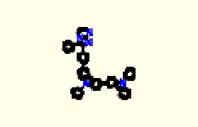 c1ccc(-c2c(-c3ccc(-c4ccc5c(c4)c4cc(-c6ccc7c(c6)c6ccccc6n7-c6ccccc6)ccc4n5-c4ccccc4)cc3)nc3ncccn23)cc1